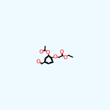 CCOC(=O)COc1ccc(C=O)cc1OC(C)=O